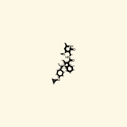 CSc1cc(C)[nH]c(=O)c1CNC(=O)c1c(C)n([C@H](C)C2CCC(OC3CC3)CC2)c2ccccc12